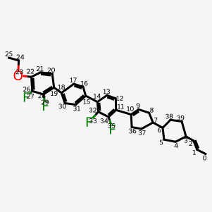 C/C=C/C1CCC(C2CC=C(c3ccc(-c4ccc(-c5ccc(OCC)c(F)c5F)cc4)c(F)c3F)CC2)CC1